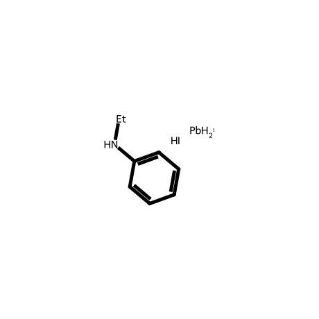 CCNc1ccccc1.I.[PbH2]